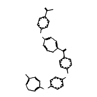 CC(=O)c1ccc(OC2=CC=C(C(=O)c3ccc(Oc4ccc(OC5=CCC=C(C)C=C5)cc4)cc3)CC=C2)cc1